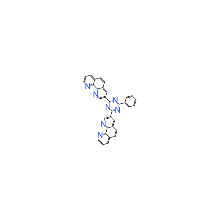 c1ccc(-c2nc(-c3cnc4c(ccc5cccnc54)c3)nc(-c3cnc4c(ccc5cccnc54)c3)n2)cc1